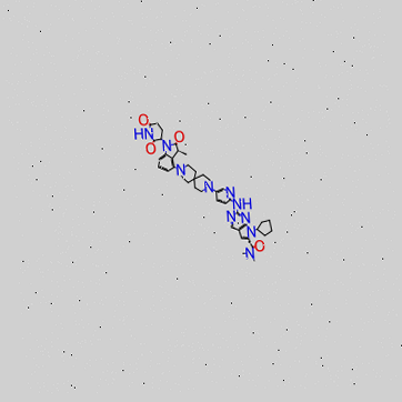 C[C@@H]1C(=O)N([C@@H]2CCC(=O)NC2=O)c2cccc(N3CCC4(CCN(c5ccc(Nc6ncc7cc(C(=O)N(C)C)n(C8CCCC8)c7n6)nc5)CC4)CC3)c21